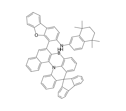 CC1(C)CCC(C)(C)c2cc(Nc3ccc4c(oc5ccccc54)c3-c3cc4ccccc4c4c3Bc3cccc5c3N4c3ccccc3C53c4ccccc4-c4ccccc43)ccc21